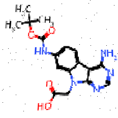 CC(C)(C)OC(=O)Nc1ccc2c3c(N)ncnc3n(CC(=O)O)c2c1